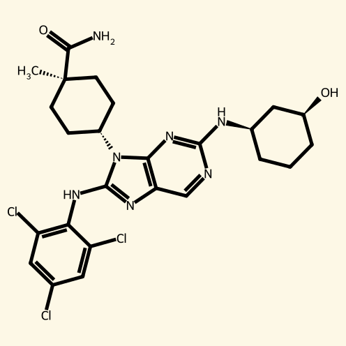 C[C@]1(C(N)=O)CC[C@H](n2c(Nc3c(Cl)cc(Cl)cc3Cl)nc3cnc(N[C@@H]4CCC[C@H](O)C4)nc32)CC1